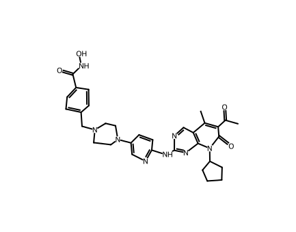 CC(=O)c1c(C)c2cnc(Nc3ccc(N4CCN(Cc5ccc(C(=O)NO)cc5)CC4)cn3)nc2n(C2CCCC2)c1=O